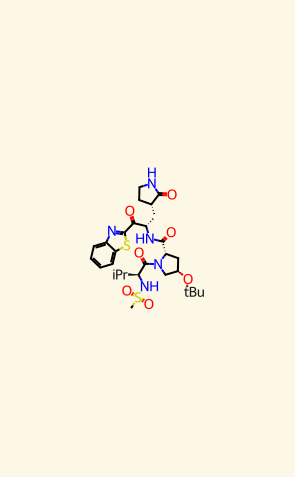 CC(C)[C@H](NS(C)(=O)=O)C(=O)N1C[C@H](OC(C)(C)C)C[C@H]1C(=O)N[C@@H](C[C@@H]1CCNC1=O)C(=O)c1nc2ccccc2s1